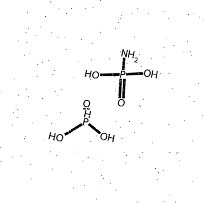 NP(=O)(O)O.O=[PH](O)O